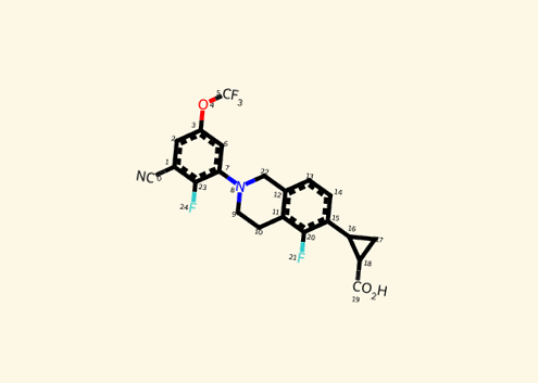 N#Cc1cc(OC(F)(F)F)cc(N2CCc3c(ccc(C4CC4C(=O)O)c3F)C2)c1F